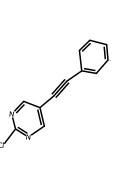 Clc1ncc(C#Cc2c[c]ccc2)cn1